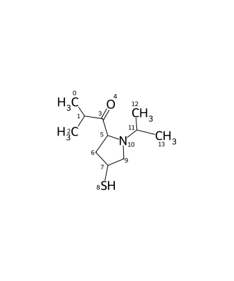 CC(C)C(=O)C1CC(S)CN1C(C)C